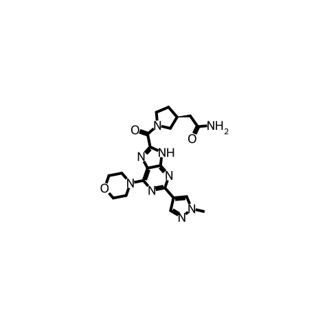 Cn1cc(-c2nc(N3CCOCC3)c3nc(C(=O)N4CC[C@@H](CC(N)=O)C4)[nH]c3n2)cn1